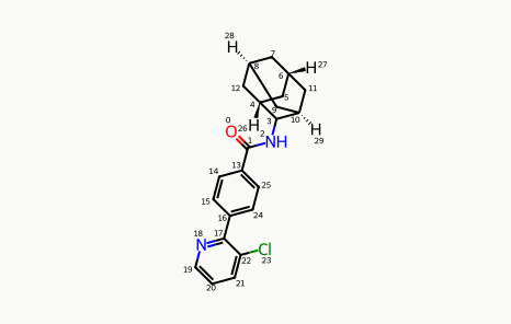 O=C(NC1[C@H]2C[C@@H]3C[C@@H](C[C@H]1C3)C2)c1ccc(-c2ncccc2Cl)cc1